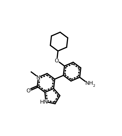 Cn1cc(-c2cc(N)ccc2OC2CCCCC2)c2cc[nH]c2c1=O